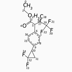 CCOC(=O)C(c1ccc(C2CC2(F)F)cc1)[C@@H](C)C(F)(F)F